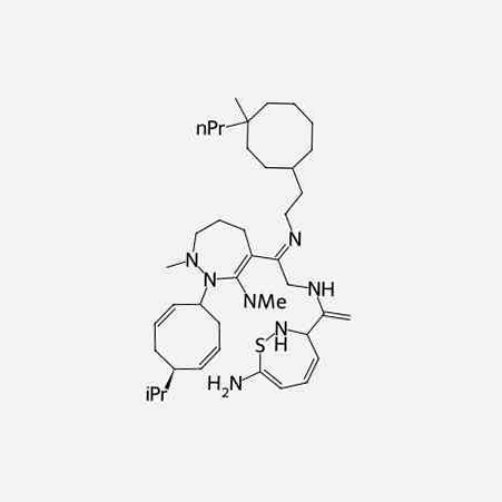 C=C(NC/C(=N/CCC1CCCCC(C)(CCC)CC1)C1=C(NC)N(C2C=CC[C@H](C(C)C)/C=C\C2)N(C)CCC1)C1C=CC=C(N)SN1